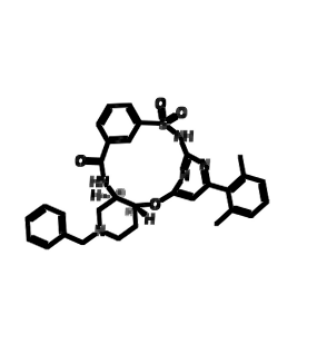 Cc1cccc(C)c1-c1cc2nc(n1)NS(=O)(=O)c1cccc(c1)C(=O)N[C@@H]1CN(Cc3ccccc3)CC[C@H]1O2